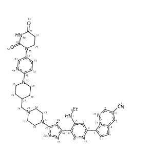 CCNc1cc(-c2ccc3cc(C#N)cnn23)ncc1-c1nnc(N2CCN(CC3CCN(c4ccc(N5CCC(=O)NC5=O)cn4)CC3)CC2)s1